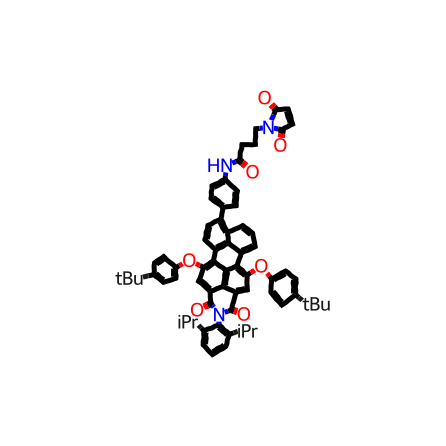 CC(C)c1cccc(C(C)C)c1N1C(=O)c2cc(Oc3ccc(C(C)(C)C)cc3)c3c4cccc5c(-c6ccc(NC(=O)CCCN7C(=O)C=CC7=O)cc6)ccc(c6c(Oc7ccc(C(C)(C)C)cc7)cc(c2c36)C1=O)c54